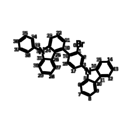 Brc1cc(-n2c3ccccc3c3ccccc32)ccc1-c1cccc2c1c1ccccc1n2-c1ccccc1